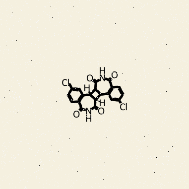 O=C1NC(=O)C2C(c3cc(Cl)ccc31)[C@H]1C(=O)NC(=O)c3ccc(Cl)cc3[C@H]21